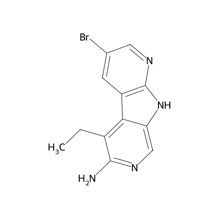 CCc1c(N)ncc2[nH]c3ncc(Br)cc3c12